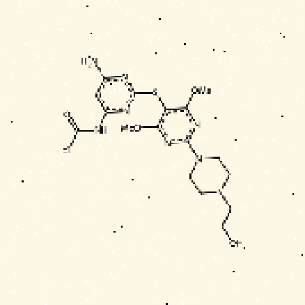 CCC(=O)Nc1cc(N)nc(Sc2c(OC)nc(N3CCN(CCO)CC3)nc2OC)n1